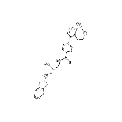 CC1(C)COCCN1C(=O)c1ccc(C(=O)NC[C@@H](O)CNC2Cc3ccccc3C2)cc1